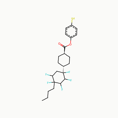 CCCCC1(F)C(F)[CH]C(F)([C@H]2CC[C@H](C(=O)Oc3ccc(S)cc3)CC2)C(F)C1F